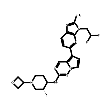 Cc1nc2ccc(-c3ccn4nc(N[C@@H]5CCN(C6COC6)C[C@H]5F)ncc34)nc2n1CC(F)F